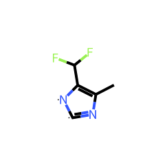 CC1=C(C(F)F)[N][C]=N1